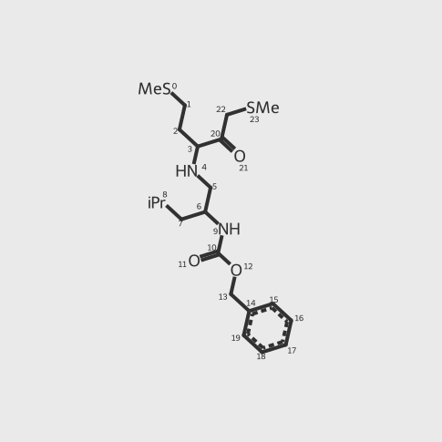 CSCCC(NCC(CC(C)C)NC(=O)OCc1ccccc1)C(=O)CSC